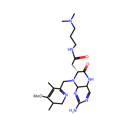 COC1=C(C)C(CN2C3N=C(N)N=CC3NC(=O)[C@H]2CC(=O)NCCCN(C)C)=NCC1C